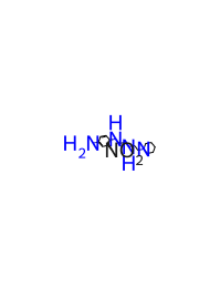 Nc1ccc(NCCNCCN2CCCCC2)c([N+](=O)[O-])c1